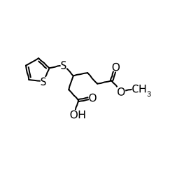 COC(=O)CCC(CC(=O)O)Sc1cccs1